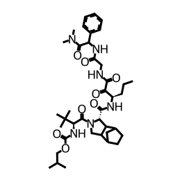 CCC[C@@H](NC(=O)[C@@H]1C2C3CCC(C3)C2CN1C(=O)[C@@H](NC(=O)OCC(C)C)C(C)(C)C)C(=O)C(=O)NCC(=O)NC(C(=O)N(C)C)c1ccccc1